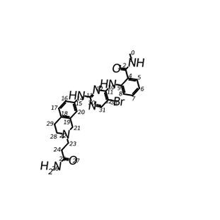 CNC(=O)c1ccccc1Nc1nc(Nc2ccc3c(c2)CN(CCC(N)=O)CC3)ncc1Br